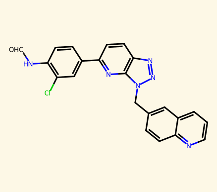 O=CNc1ccc(-c2ccc3nnn(Cc4ccc5ncccc5c4)c3n2)cc1Cl